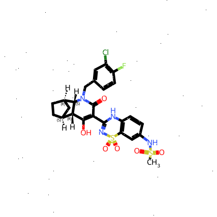 CS(=O)(=O)Nc1ccc2c(c1)S(=O)(=O)N=C(C1=C(O)[C@@H]3[C@H]4CC[C@H](C4)[C@@H]3N(Cc3ccc(F)c(Cl)c3)C1=O)N2